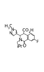 CC(C)CN1C(=O)c2cc(F)ccc2C(C(=O)O)C1c1cnn(C)c1